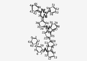 c1ccc(-c2cccc(-n3c4ccccc4c4ccc(-c5ccc6c(c5)c5ccccc5n6-c5cccc(-c6cc(-c7ccccc7)nc(-c7ccccc7)n6)c5)cc43)c2)cc1